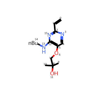 C=Cc1ncc(OCC(C)(C)O)c(NCCCC)n1